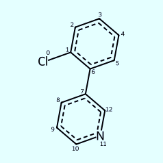 Clc1ccccc1-c1cccnc1